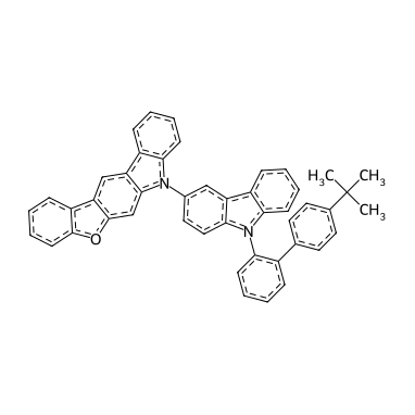 CC(C)(C)c1ccc(-c2ccccc2-n2c3ccccc3c3cc(-n4c5ccccc5c5cc6c(cc54)oc4ccccc46)ccc32)cc1